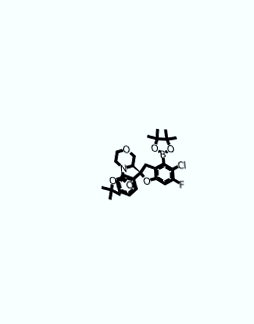 CC(C)(C)OC(=O)N1CCOCC1[C@@]1(c2ccccc2)Cc2c(cc(F)c(Cl)c2B2OC(C)(C)C(C)(C)O2)O1